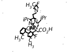 Cc1cc(-c2c(C)cccc2C)c(F)c([C@H](CC(=O)O)NC[C@H](CC(C)C)n2cc(CCN3CC(C)(F)C3)c(C(C)C)nc2=O)c1F